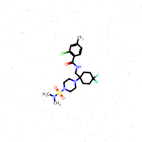 CN(C)S(=O)(=O)N1CCN(C2(CNC(=O)c3ccc(C(F)(F)F)cc3Cl)CCC(F)(F)CC2)CC1